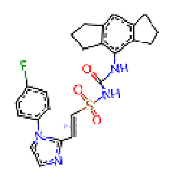 O=C(Nc1c2c(cc3c1CCC3)CCC2)NS(=O)(=O)/C=C/c1nccn1-c1ccc(F)cc1